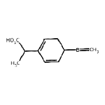 C=BC1C=CC(C(C)C(=O)O)=CC1